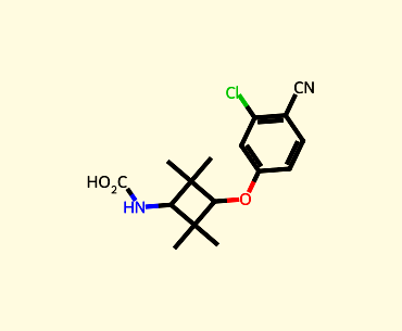 CC1(C)C(NC(=O)O)C(C)(C)C1Oc1ccc(C#N)c(Cl)c1